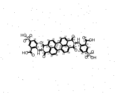 O=C(O)c1cc(S(=O)(=O)O)ccc1NN1C(=O)c2ccc3c4ccc5c6c(ccc(c7ccc(c2c37)C1=O)c64)C(=O)N(Nc1ccc(S(=O)(=O)O)cc1C(=O)O)C5=O